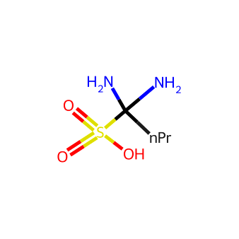 CCCC(N)(N)S(=O)(=O)O